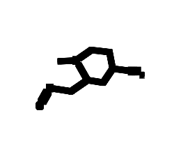 CN1CCC(N)CC1CN=O